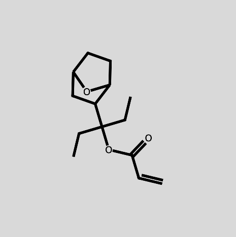 C=CC(=O)OC(CC)(CC)C1CC2CCC1O2